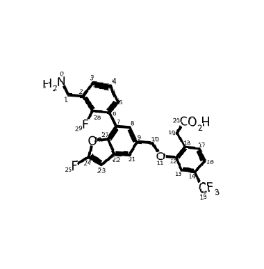 NCc1cccc(-c2cc(COc3cc(C(F)(F)F)ccc3CC(=O)O)cc3cc(F)oc23)c1F